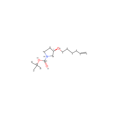 C=CCCCCO[C@@H]1CCN(C(=O)OC(C)(C)C)C1